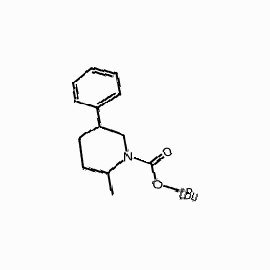 CC1CCC(c2ccccc2)CN1C(=O)OC(C)(C)C